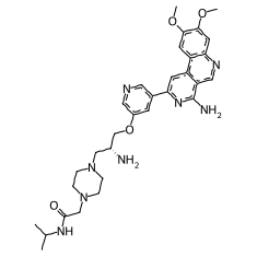 COc1cc2ncc3c(N)nc(-c4cncc(OC[C@H](N)CN5CCN(CC(=O)NC(C)C)CC5)c4)cc3c2cc1OC